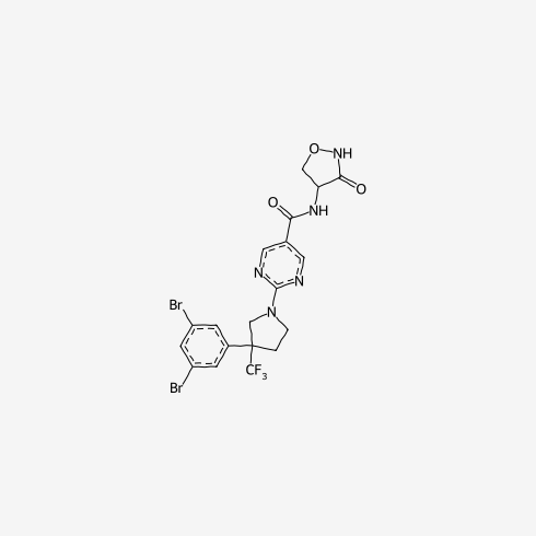 O=C(NC1CONC1=O)c1cnc(N2CCC(c3cc(Br)cc(Br)c3)(C(F)(F)F)C2)nc1